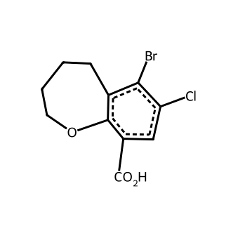 O=C(O)c1cc(Cl)c(Br)c2c1OCCCC2